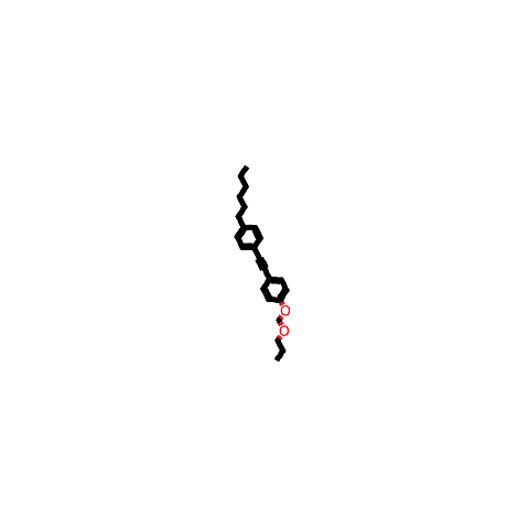 CCCCCCc1ccc(C#Cc2ccc(OCOCCC)cc2)cc1